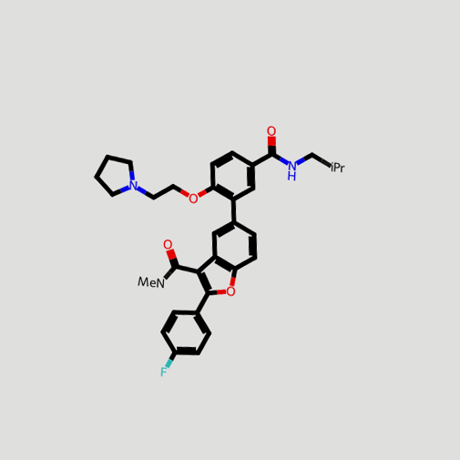 CNC(=O)c1c(-c2ccc(F)cc2)oc2ccc(-c3cc(C(=O)NCC(C)C)ccc3OCCN3CCCC3)cc12